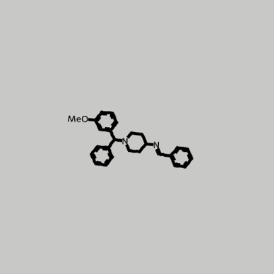 COc1cccc(C(c2ccccc2)N2CCC(N=Cc3ccccc3)CC2)c1